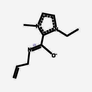 C=CC/N=C(\[O-])c1n(CC)cc[n+]1C